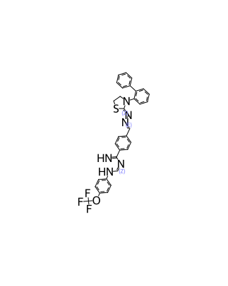 N=C(/N=C\Nc1ccc(OC(F)(F)F)cc1)c1ccc(/C=N/N=C2\SCCN2c2ccccc2-c2ccccc2)cc1